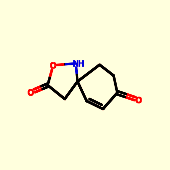 O=C1C=CC2(CC1)CC(=O)ON2